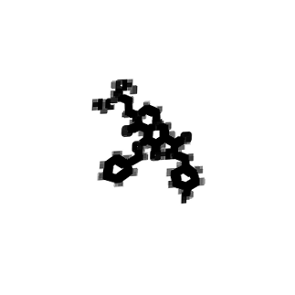 CN(C)CCn1ccn2cc(C(=O)NCc3ccc(F)cc3)c(=O)c(OCc3ccccc3)c2c1=O